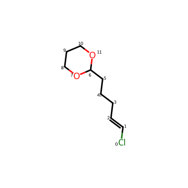 ClC=CC[CH]CC1OCCCO1